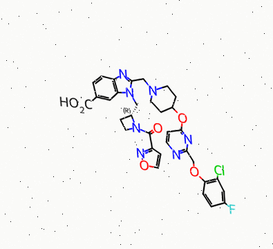 O=C(O)c1ccc2nc(CN3CCC(Oc4ccnc(COc5ccc(F)cc5Cl)n4)CC3)n(C[C@H]3CCN3C(=O)c3ccon3)c2c1